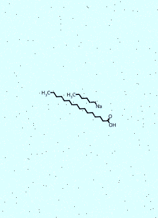 CCCCCCCCCCCCCCCC(=O)O.CCCCC[CH2][Na]